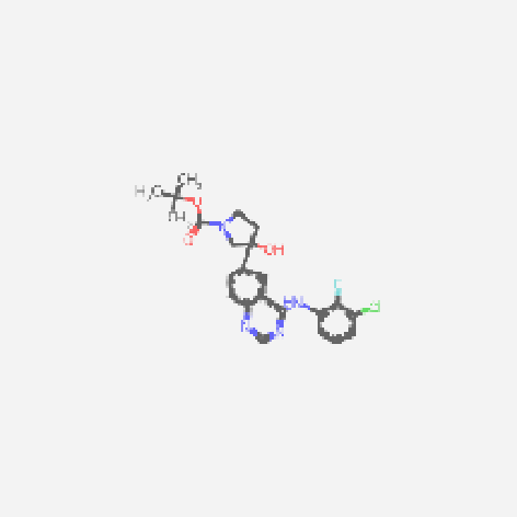 CC(C)(C)OC(=O)N1CCC(O)(c2ccc3ncnc(Nc4cccc(Cl)c4F)c3c2)C1